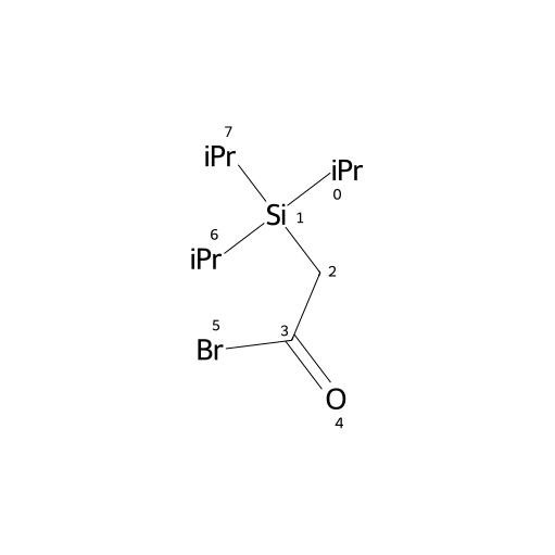 CC(C)[Si](CC(=O)Br)(C(C)C)C(C)C